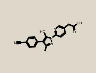 Cc1nn(-c2ccc(CC(=O)O)cn2)c(O)c1-c1ccc(C#N)cc1